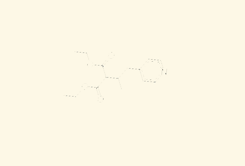 CCOC(=O)C(C(=O)OCC)C(C)Cc1ccncc1